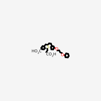 O=C(O)CCCSC(/C=C\c1cccc(OCCCCOc2ccccc2)c1)Cc1ccc(C(=O)O)cc1